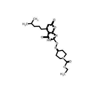 CCOC(=O)N1CCC(=NOc2nc3oc(=O)cc(CCCC(C)C)c3c(=O)[nH]2)CC1